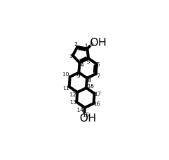 OC1=CCC2=C1C=CC1C2CCC2CC(O)CCC21